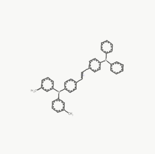 Cc1cccc(N(c2ccc(/C=C/c3ccc(N(c4ccccc4)c4ccccc4)cc3)cc2)c2cccc(C)c2)c1